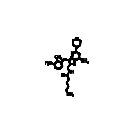 Cc1c(Cc2c(CNC(=O)CCCCN)nc3c(N)cc(N4CCOCC4)nn23)cccc1C(F)(F)F